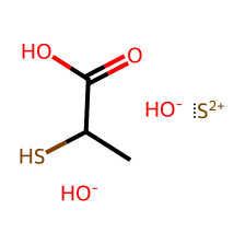 CC(S)C(=O)O.[OH-].[OH-].[S+2]